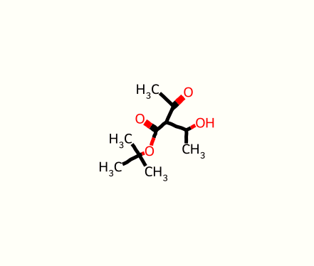 CC(=O)C(C(=O)OC(C)(C)C)C(C)O